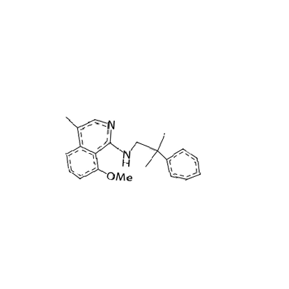 COc1cccc2c(C)cnc(NCC(C)(C)c3ccccc3)c12